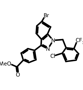 COC(=O)c1ccc(-c2nn(Cc3c(Cl)cccc3C(F)(F)F)c3cc(Br)ccc23)cc1